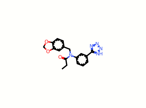 CCC(=O)N(Cc1ccc2c(c1)OCO2)c1cccc(-c2nnn[nH]2)c1